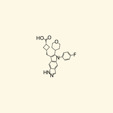 O=C(O)[C@H]1C[C@@H](Cc2c(C3CCOCC3)n(-c3ccc(F)cc3)c3cc4cn[nH]c4cc23)C1